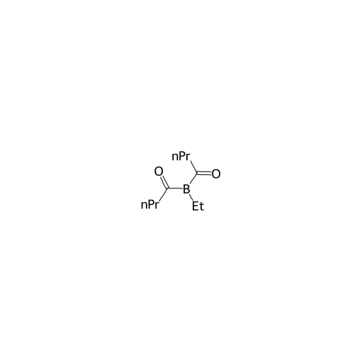 CCCC(=O)B(CC)C(=O)CCC